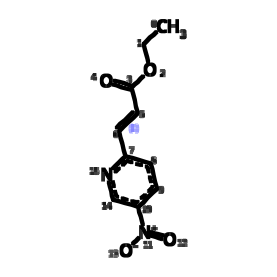 CCOC(=O)/C=C/c1ccc([N+](=O)[O-])cn1